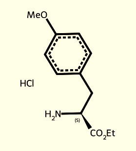 CCOC(=O)[C@@H](N)Cc1ccc(OC)cc1.Cl